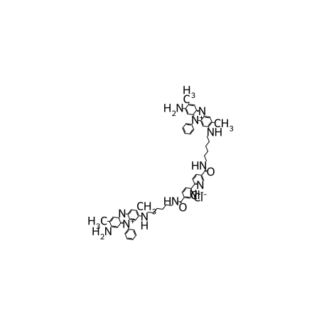 Cc1cc2nc3cc(C)c(NCCCCCCNC(=O)c4ccc(-c5ccc(C(=O)NCCCCCCNc6cc7c(cc6C)nc6cc(C)c(N)cc6[n+]7-c6ccccc6)cn5)nc4)cc3[n+](-c3ccccc3)c2cc1N.[Cl-].[Cl-]